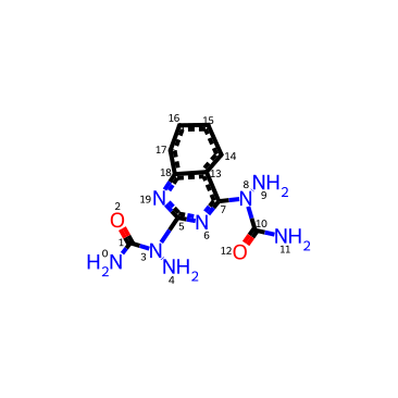 NC(=O)N(N)c1nc(N(N)C(N)=O)c2ccccc2n1